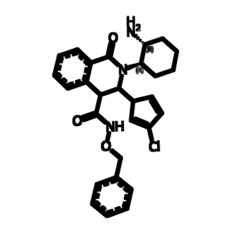 N[C@@H]1CCCC[C@H]1N1C(=O)c2ccccc2C(C(=O)NOCc2ccccc2)C1C1C=CC(Cl)=C1